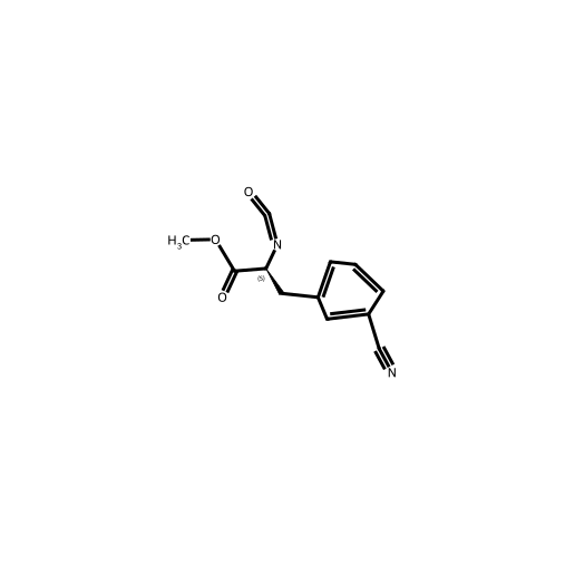 COC(=O)[C@H](Cc1cccc(C#N)c1)N=C=O